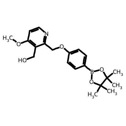 COc1ccnc(COc2ccc(B3OC(C)(C)C(C)(C)O3)cc2)c1CO